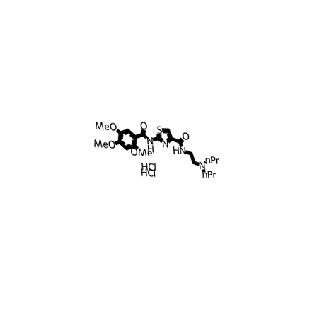 CCCN(CCC)CCNC(=O)c1csc(NC(=O)c2cc(OC)c(OC)cc2OC)n1.Cl.Cl